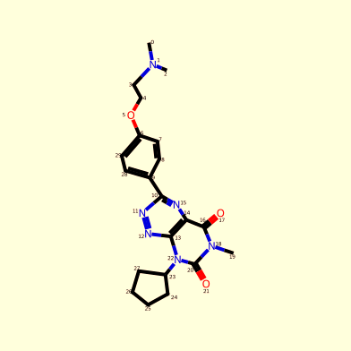 CN(C)CCOc1ccc(-c2nnc3c(n2)c(=O)n(C)c(=O)n3C2CCCC2)cc1